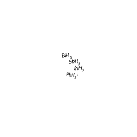 [BiH3].[InH3].[PbH2].[SbH3]